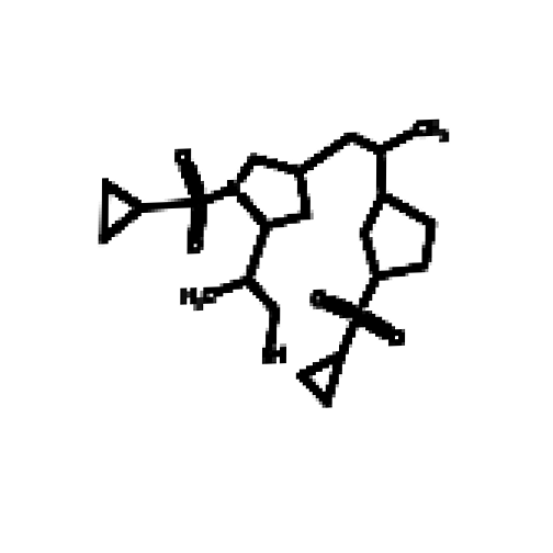 CC(CC1CC(C(C)CS)N(S(=O)(=O)C2CC2)C1)C1CCC(S(=O)(=O)C2CC2)C1